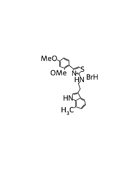 Br.COc1ccc(-c2csc(NCCc3c[nH]c4c(C)cccc34)n2)c(OC)c1